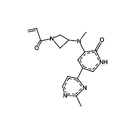 C=CC(=O)N1CC(N(C)c2cc(-c3ccnc(C)n3)c[nH]c2=O)C1